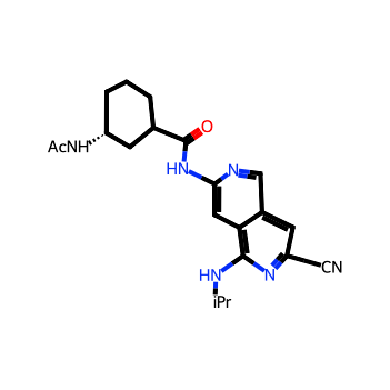 CC(=O)N[C@@H]1CCCC(C(=O)Nc2cc3c(NC(C)C)nc(C#N)cc3cn2)C1